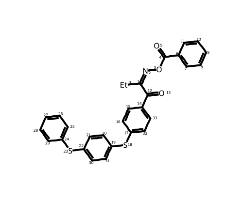 CCC(=NOC(=O)c1ccccc1)C(=O)c1ccc(Sc2ccc(Sc3ccccc3)cc2)cc1